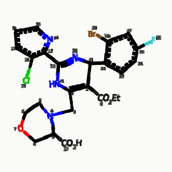 CCOC(=O)C1=C(CN2CCOCC2C(=O)O)NC(c2ncccc2Cl)=NC1c1ccc(F)cc1Br